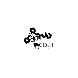 O=C(O)c1ccco1.ON=C(C=Cc1ccccn1)C=Cc1ccccc1OCc1ccccc1Cl